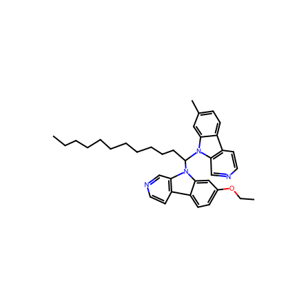 CCCCCCCCCCCC(n1c2cnccc2c2ccc(C)cc21)n1c2cnccc2c2ccc(OCC)cc21